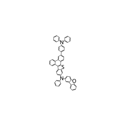 c1ccc(N(c2ccccc2)c2ccc(-c3ccc4c(c3)c3ccccc3c3c5ccc(N(c6ccccc6)c6ccc7oc8ccccc8c7c6)cc5sc43)cc2)cc1